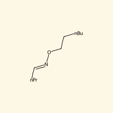 CCCC=NOCCCCCC